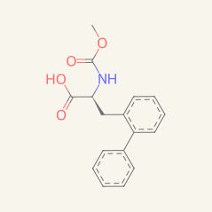 COC(=O)N[C@@H](Cc1ccccc1-c1ccccc1)C(=O)O